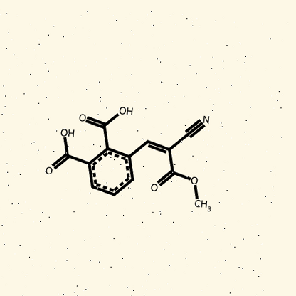 COC(=O)C(C#N)=Cc1cccc(C(=O)O)c1C(=O)O